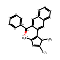 CC1=CC(C)=C(c2cc3ccccc3cc2C(=O)c2ccccc2)C1C